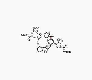 COC(=O)OCOC1COc2cccc(F)c2-c2nc3c(cc2F)c(N2CCN(C(=O)OC(C)(C)C)C[C@@H]2C)nc(=O)n3-c2c(ccnc2C(C)C)C1OCOC(=O)OC